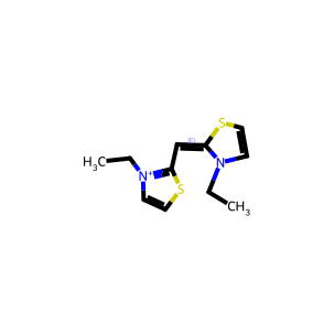 CCN1C=CS/C1=C/c1scc[n+]1CC